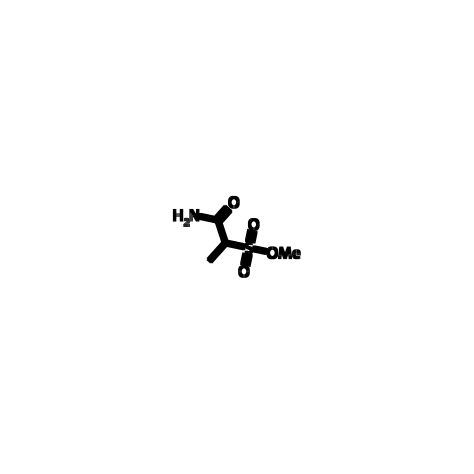 COS(=O)(=O)C(C)C(N)=O